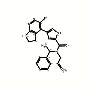 C=CCN(C(=O)c1cc(-c2c(F)cnc3c2CCN3)c[nH]1)C(C)c1ccccc1